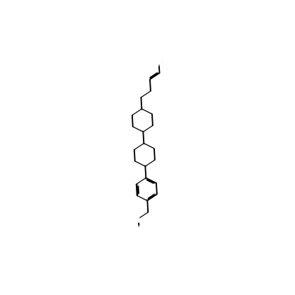 C/C=C/CCC1CCC(C2CCC(c3ccc(C[SiH2]C)cc3)CC2)CC1